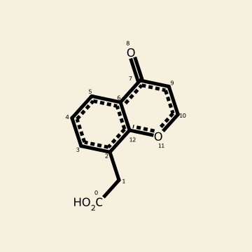 O=C(O)Cc1cccc2c(=O)ccoc12